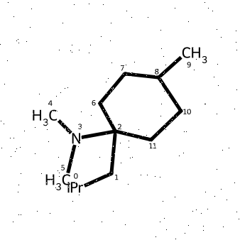 CC(C)CC1(N(C)C)CCC(C)CC1